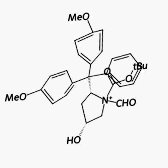 COc1ccc(C(c2ccccc2)(c2ccc(OC)cc2)[C@H]2C[C@@H](O)C[N+]2(C=O)C(=O)OC(C)(C)C)cc1